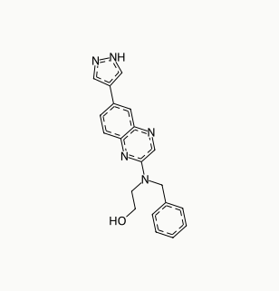 OCCN(Cc1ccccc1)c1cnc2cc(-c3cn[nH]c3)ccc2n1